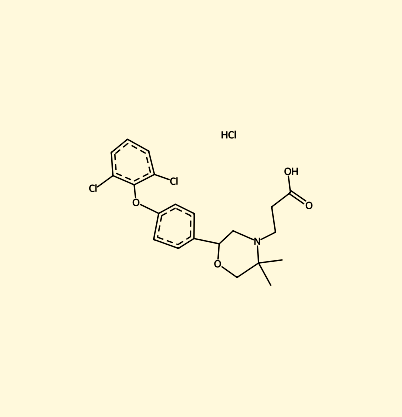 CC1(C)COC(c2ccc(Oc3c(Cl)cccc3Cl)cc2)CN1CCC(=O)O.Cl